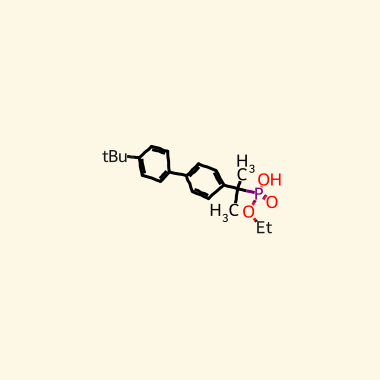 CCOP(=O)(O)C(C)(C)c1ccc(-c2ccc(C(C)(C)C)cc2)cc1